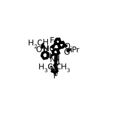 C#Cc1c(F)ccc2cc(OC(=O)C(C)C)cc(C3=Cc4nc(OC[C@]5(C)C[C@@H](F)CN5C)nc(N5CCCCC(NC(=O)C=C)C5)c4CC3)c12